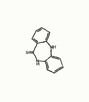 S=C1Nc2ccccc2Nc2ccccc21